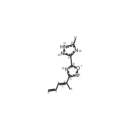 C=C/C=C(\C)c1noc(-c2n[nH]c(C)n2)n1